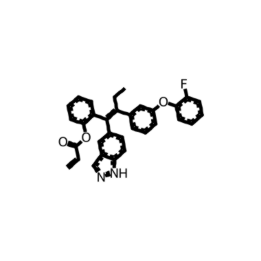 C=CC(=O)Oc1ccccc1/C(=C(\CC)c1cccc(Oc2ccccc2F)c1)c1ccc2[nH]ncc2c1